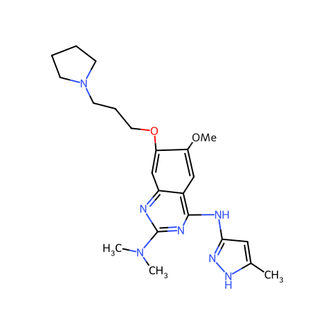 COc1cc2c(Nc3cc(C)[nH]n3)nc(N(C)C)nc2cc1OCCCN1CCCC1